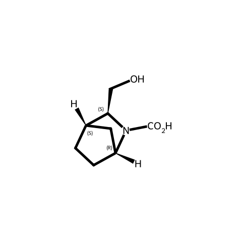 O=C(O)N1[C@@H]2CC[C@@H](C2)[C@H]1CO